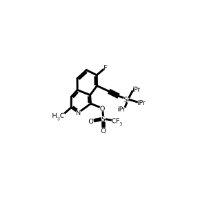 Cc1cc2ccc(F)c(C#C[Si](C(C)C)(C(C)C)C(C)C)c2c(OS(=O)(=O)C(F)(F)F)n1